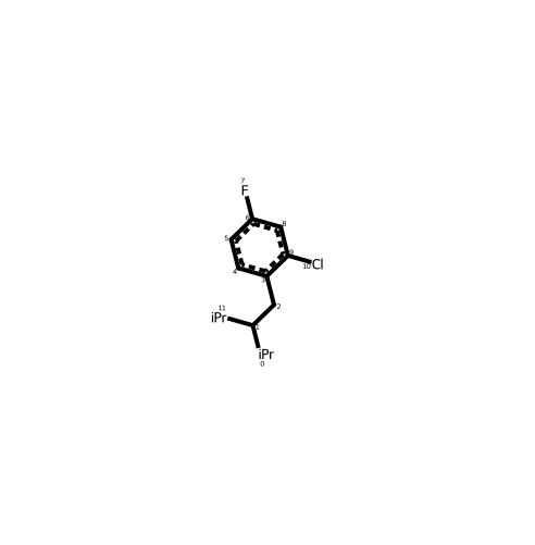 CC(C)C(Cc1ccc(F)cc1Cl)C(C)C